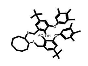 Cc1cc(Oc2cc(C(C)(C)C)cc(CSC3CCCCCC[C@@H]3SCc3cc(C(C)(C)C)cc(Oc4cc(C)c(C)c(C)c4)c3O)c2O)cc(C)c1C